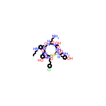 CCCCCNc1ccc(C[C@H]2NC(=O)[C@H](Cc3ccc(O)cc3)NC(=O)[C@H](NC(=O)CCc3ccc(Cl)cc3)CSSC[C@@H](C(=O)N[C@H](Cc3ccc(O)cc3)C(N)=O)NC(=O)C(C(C)O)NC(=O)[C@H](CCCCN)NC2=O)cc1